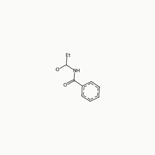 CCC([O])NC(=O)c1ccccc1